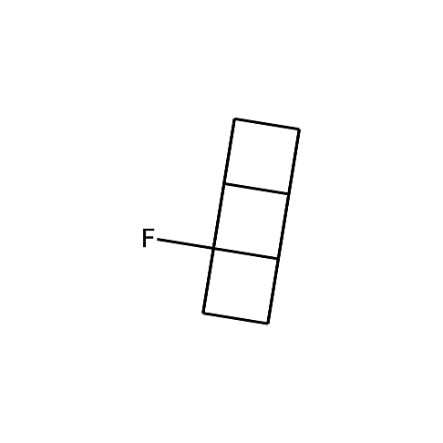 FC12C3C4C5C3C1C5C42